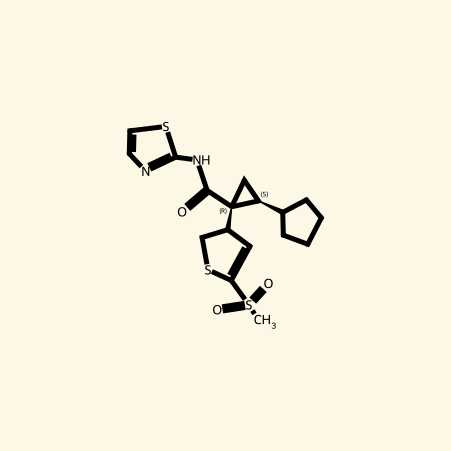 CS(=O)(=O)C1=CC([C@@]2(C(=O)Nc3nccs3)C[C@H]2C2CCCC2)CS1